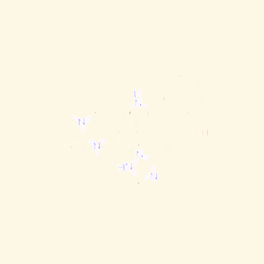 Cn1cc(S(=O)(=O)Nc2cc(Sc3nc[nH]n3)c(O)c3ccccc23)c(=O)n(C)c1=O